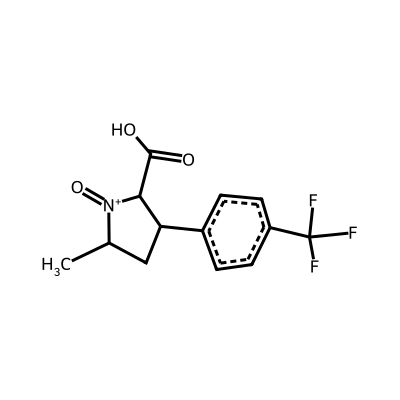 CC1CC(c2ccc(C(F)(F)F)cc2)C(C(=O)O)[N+]1=O